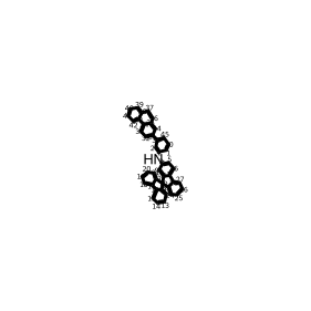 c1cc(Nc2ccc3c(c2)C2(c4ccccc4-c4ccccc42)c2ccccc2-3)cc(-c2ccc3c(ccc4ccccc43)c2)c1